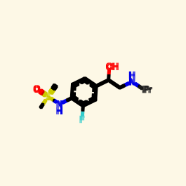 C=S(C)(=O)Nc1ccc(C(O)CNC(C)C)cc1F